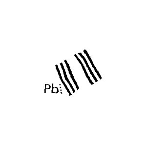 C#C.C#C.[Pb]